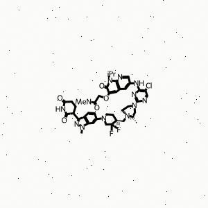 CNC(=O)COc1cc2cc(Nc3nc(N4CCN(C[C@@H]5CCN(c6ccc7c(C8CCC(=O)NC8=O)nn(C)c7c6)CC5(F)F)[C@@H](C)C4)ncc3Cl)cnc2n(C(C)C)c1=O